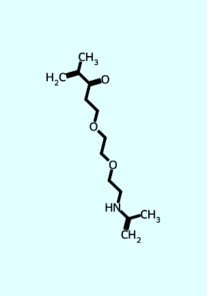 C=C(C)NCCOCCOCCC(=O)C(=C)C